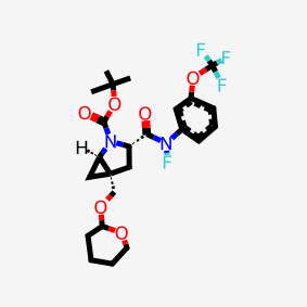 CC(C)(C)OC(=O)N1[C@H](C(=O)N(F)c2cccc(OC(F)(F)F)c2)C[C@@]2(COC3CCCCO3)C[C@@H]12